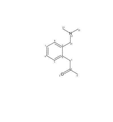 CC(=O)Cc1ccccc1CN(C)C